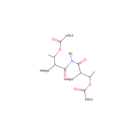 CCCCCCCCC(=O)OC(C)C(CCCCCCC)C(=O)N(C(C)=O)C(=O)C(CCCCCCC)C(C)OC(=O)CCCCCCCC